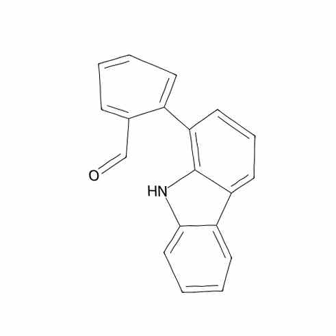 O=Cc1ccccc1-c1cccc2c1[nH]c1ccccc12